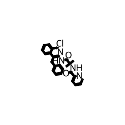 CC(C)(NC(=O)c1ccccn1)C(=O)Nc1nc(Cl)c2ccccc2c1Cc1ccccc1